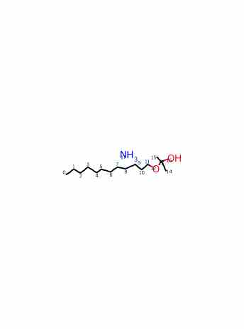 CCCCCCCCCCCCOC(C)(C)O.N